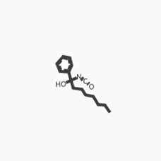 CCCCCCCC(O)(N=C=O)c1ccccc1